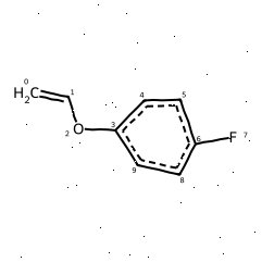 C=COc1ccc(F)cc1